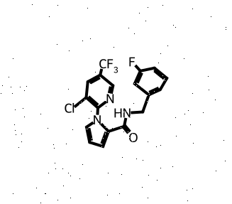 O=C(NCc1cccc(F)c1)c1cccn1-c1ncc(C(F)(F)F)cc1Cl